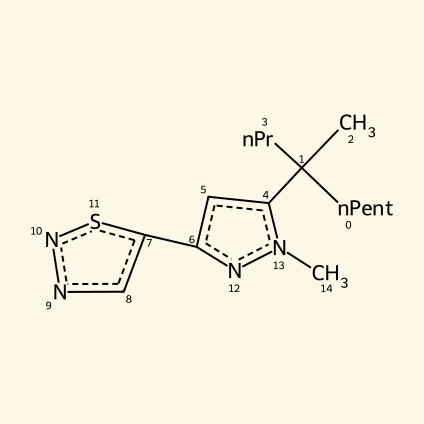 CCCCCC(C)(CCC)c1cc(-c2cnns2)nn1C